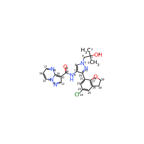 CC(C)(O)Cn1cc(NC(=O)c2cnn3cccnc23)c(-c2cc(Cl)cc3c2OCC3)n1